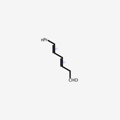 CCC/C=C/C=C/C[C]=O